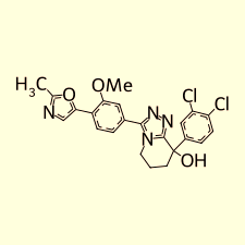 COc1cc(-c2nnc3n2CCCC3(O)c2ccc(Cl)c(Cl)c2)ccc1-c1cnc(C)o1